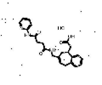 Cl.O=C(O)CC1CC(CNC(=O)CCC(=O)Nc2ccccn2)=CCc2ccccc21